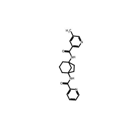 Cc1cncc(C(=O)NC23CCCC(NC(=O)c4ccccn4)(CC2)C3)c1